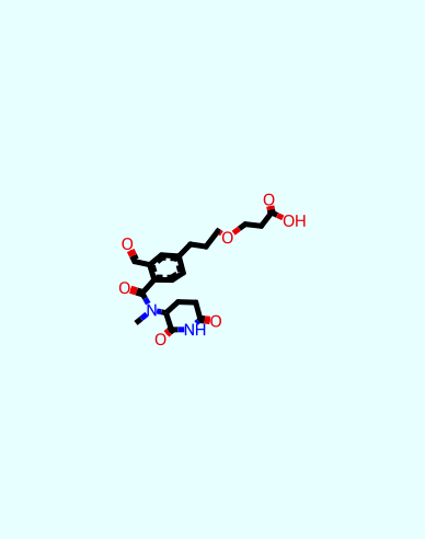 CN(C(=O)c1ccc(CCCOCCC(=O)O)cc1C=O)C1CCC(=O)NC1=O